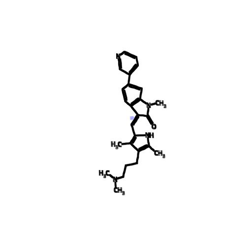 Cc1[nH]c(/C=C2\C(=O)N(C)c3cc(-c4cccnc4)ccc32)c(C)c1CCCN(C)C